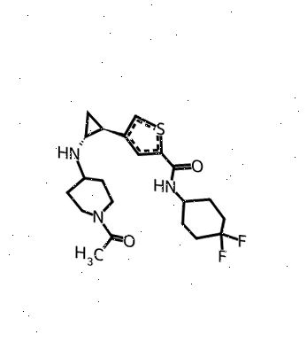 CC(=O)N1CCC(N[C@@H]2C[C@H]2c2csc(C(=O)NC3CCC(F)(F)CC3)c2)CC1